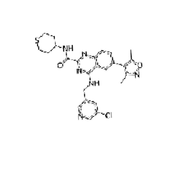 Cc1noc(C)c1-c1ccc2nc(C(=O)NC3CCSCC3)nc(NCc3cncc(Cl)c3)c2c1